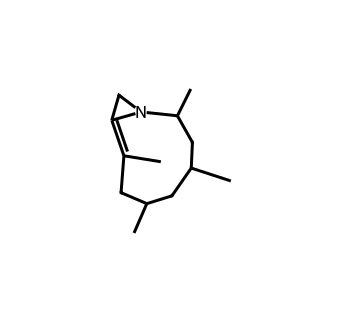 C/C1=C2/CN2C(C)CC(C)CC(C)C1